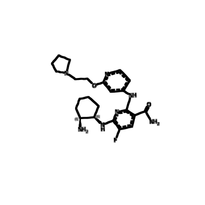 NC(=O)c1cc(F)c(N[C@@H]2CCCC[C@@H]2N)nc1Nc1ccnc(OCCN2CCCC2)c1